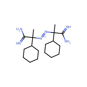 CC(/N=N/C(C)(C(=N)N)C1CCCCC1)(C(=N)N)C1CCCCC1